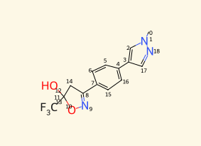 Cn1cc(-c2ccc(C3=NOC(O)(C(F)(F)F)C3)cc2)cn1